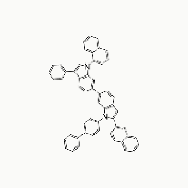 c1ccc(-c2ccc(-n3c(-c4ccc5ccccc5c4)cc4ccc(-c5ccc6c(-c7ccccc7)cn(-c7cccc8ccccc78)c6c5)cc43)cc2)cc1